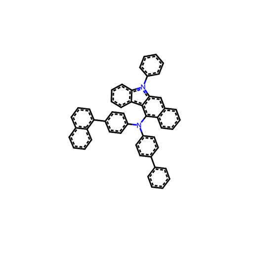 c1ccc(-c2ccc(N(c3ccc(-c4cccc5ccccc45)cc3)c3c4ccccc4cc4c3c3ccccc3n4-c3ccccc3)cc2)cc1